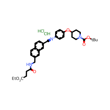 CCOC(=O)CCC(=O)NCc1ccc2ccc(C#[N+]c3ccc(OC4CCN(C(=O)OC(C)(C)C)CC4)cc3)cc2c1.Cl.Cl